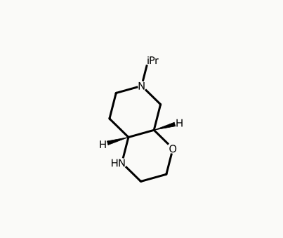 CC(C)N1CC[C@H]2NCCO[C@H]2C1